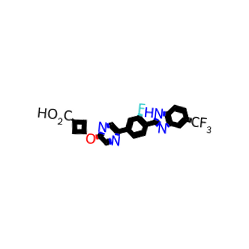 O=C(O)[C@H]1C[C@H](Oc2cnc(-c3ccc(-c4nc5cc(C(F)(F)F)ccc5[nH]4)c(F)c3)cn2)C1